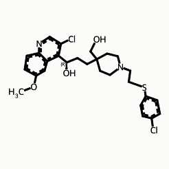 COc1ccc2ncc(Cl)c([C@H](O)CCC3(CO)CCN(CCSc4ccc(Cl)cc4)CC3)c2c1